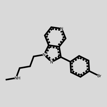 CNCCCn1nc(-c2ccc(Br)cc2)c2cnccc21